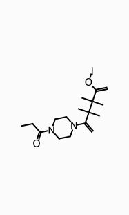 C=C(OI)C(C)(C)C(C)(C)C(=C)N1CCN(C(=O)CC)CC1